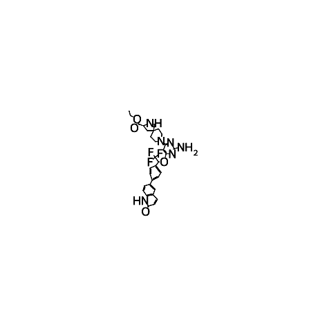 CCOC(=O)[C@@H]1CC2(CCN(c3cc(O[C@H](c4ccc(-c5ccc6[nH]c(=O)ccc6c5)cc4)C(F)(F)F)nc(N)n3)CC2)CN1